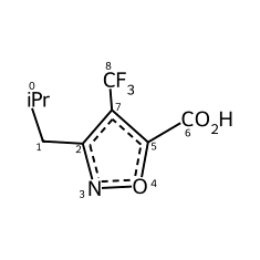 CC(C)Cc1noc(C(=O)O)c1C(F)(F)F